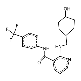 O=C(Nc1ccc(C(F)(F)F)cc1)c1cccnc1NCC1CCC(O)CC1